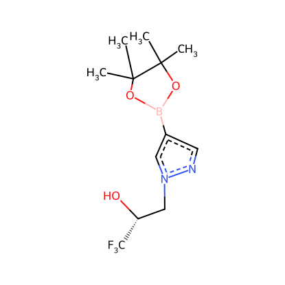 CC1(C)OB(c2cnn(C[C@@H](O)C(F)(F)F)c2)OC1(C)C